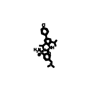 CC(C)c1cc(-c2ccc(Cl)cc2)cc(C(C)C)c1NC(=O)N=S(N)(=O)c1ccc(CN(C)C)cc1